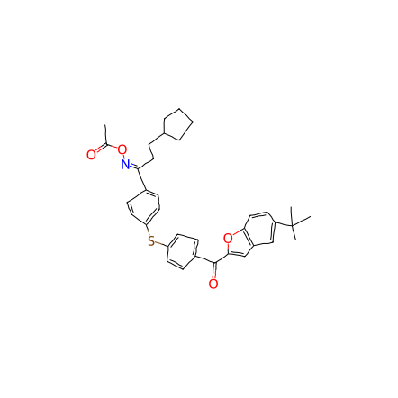 CC(=O)ON=C(CCC1CCCC1)c1ccc(Sc2ccc(C(=O)c3cc4cc(C(C)(C)C)ccc4o3)cc2)cc1